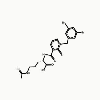 CC(=N)NCCC[C@H](NC(=O)c1cccn(Cc2cc(Br)cc(Br)c2)c1=O)C(=O)O